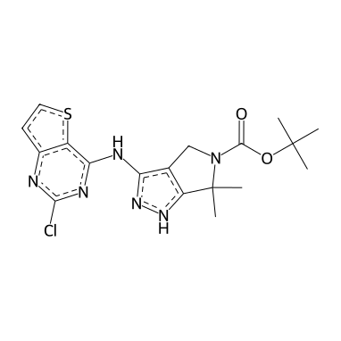 CC(C)(C)OC(=O)N1Cc2c(Nc3nc(Cl)nc4ccsc34)n[nH]c2C1(C)C